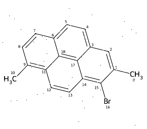 Cc1cc2ccc3ccc(C)c4ccc(c1Br)c2c34